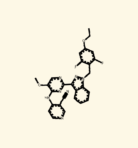 CCOc1cc(F)c(Cn2nc(-c3ncc(OC)c(Nc4ccncc4C#N)n3)c3ccccc32)c(F)c1